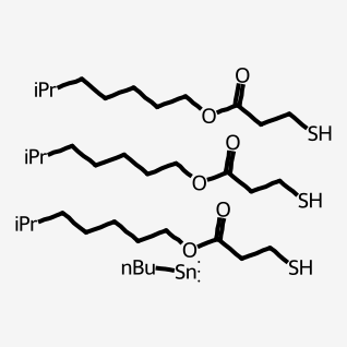 CC(C)CCCCCOC(=O)CCS.CC(C)CCCCCOC(=O)CCS.CC(C)CCCCCOC(=O)CCS.CCC[CH2][Sn]